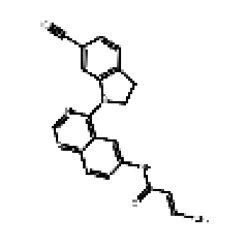 C#Cc1ccc2c(c1)N(c1ncnc3ccc(NC(=O)C=CC)cc13)CC2